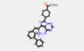 COC(=O)C1CCC(c2nc(-c3cc4cccc(-c5ccccc5)c4[nH]3)c3c(N)ncnn23)CC1